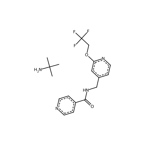 CC(C)(C)N.O=C(NCc1ccnc(OCC(F)(F)F)c1)c1ccncc1